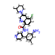 CC1CCCN(c2cnc3c(C(=O)Nc4cnccc4[C@@H]4C[C@H](C)C[C@H](N)C4)ccc(F)c3c2)C1